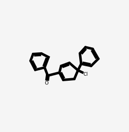 O=C(C1=CCC(Cl)(c2ccccc2)C=C1)c1ccccc1